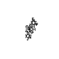 Cc1ccc(N2CC[C@](O)(C(=O)NCc3cc(F)cc(F)c3)C2=O)cn1